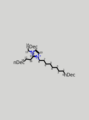 CCCCCCCCCCCCCCCCCC[n+]1ccn(CCCCCCCCCCC)c1CCCCCCCCCCCC